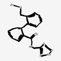 CCOCc1ccccc1-c1ccccc1C(=O)Nc1nn[nH]n1